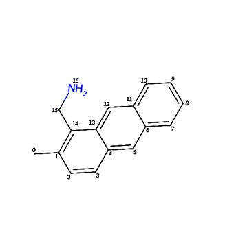 Cc1ccc2cc3ccccc3cc2c1CN